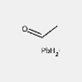 CC=O.[PbH2]